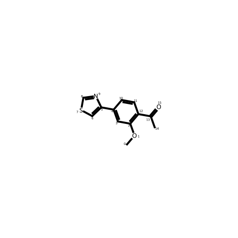 COc1cc(-c2cscn2)ccc1C(C)=O